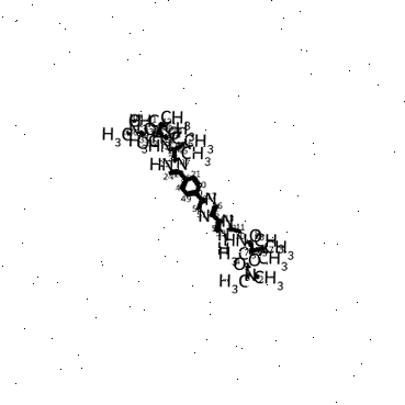 CN(C)C(=O)OC(C)(C(=O)NCc1nc(-c2cnc(-c3ccc(-c4c[nH]c(C(NC(=O)[C@](C)(OC(=O)N(C)C)C(C)(C)C)C(C)(C)C)n4)cc3)cn2)c[nH]1)C(C)(C)C